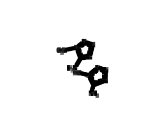 Nc1nnnn1O.Nc1nnnn1[N+](=O)[O-]